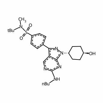 CCCCNc1ncc2c(-c3ccc(S(=O)(=O)N(C)C(C)(C)C)cc3)nn([C@H]3CC[C@H](O)CC3)c2n1